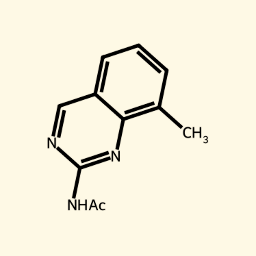 CC(=O)Nc1ncc2cccc(C)c2n1